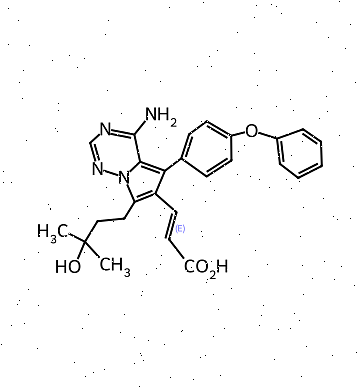 CC(C)(O)CCc1c(/C=C/C(=O)O)c(-c2ccc(Oc3ccccc3)cc2)c2c(N)ncnn12